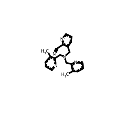 Cc1cccnc1CN(Cc1cccnc1C#N)Cc1ncccc1C